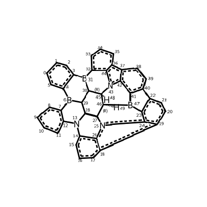 c1ccc2c(c1)B1c3ccccc3N3c4cccc5c6ccc7c8c6n(c45)C4C3C1C1B2c2cccc3c5ccc-7c6c5n(c23)[C@H]1[C@H]4B86